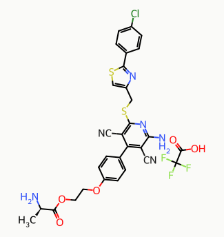 C[C@@H](N)C(=O)OCCOc1ccc(-c2c(C#N)c(N)nc(SCc3csc(-c4ccc(Cl)cc4)n3)c2C#N)cc1.O=C(O)C(F)(F)F